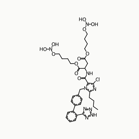 CCCCc1nc(Cl)c(C(=O)NC(CC(=O)OCCCCON(O)O)C(=O)OCCCCON(O)O)n1Cc1ccc(-c2ccccc2-c2nn[nH]n2)cc1